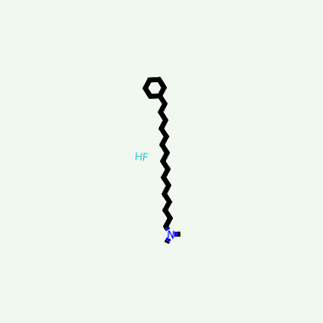 CN(C)CCCCCCCCCCCCCCCCC1CCCCC1.F